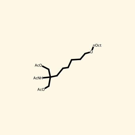 CCCCCCCCOCCCCCCC(COC(C)=O)(COC(C)=O)NC(C)=O